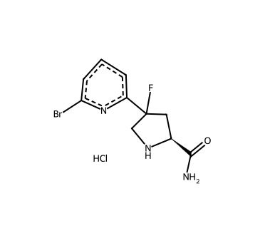 Cl.NC(=O)[C@@H]1CC(F)(c2cccc(Br)n2)CN1